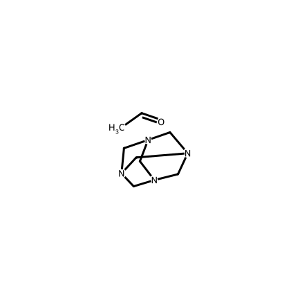 C1N2CN3CN1CN(C2)C3.CC=O